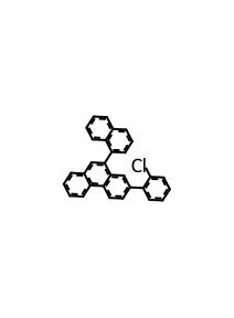 Clc1ccccc1-c1ccc2c(c1)c(-c1cccc3ccccc13)cc1ccccc12